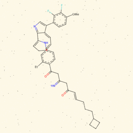 CCc1cc(N/C2=C\C/C=C\C=C3\C(c4ccc(OC)c(F)c4F)=CN=C23)ccc1C(=O)CC(=N)CC(=O)/C=C/CCCC1CCC1